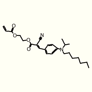 C=CC(=O)OCCOC(=O)/C(C#N)=C/c1ccc(N(CCCCCCC)C(C)C)cc1